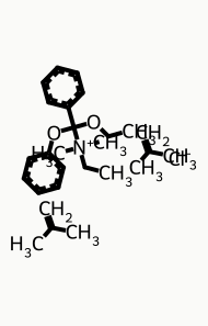 C=C(C)C.C=C(C)C.CCOC(Oc1ccccc1)(c1ccccc1)[N+](C)(C)CC.[Cl-]